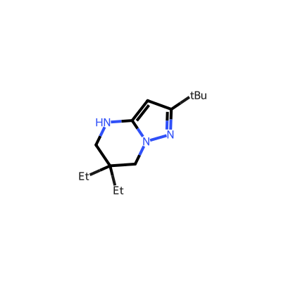 CCC1(CC)CNc2cc(C(C)(C)C)nn2C1